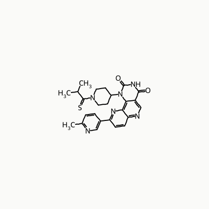 Cc1ccc(-c2ccc3ncc4c(=O)[nH]c(=O)n(C5CCN(C(=S)C(C)C)CC5)c4c3n2)cn1